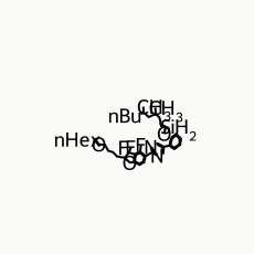 CCCCCCOCCCCC1Oc2ccc(-c3ncc(-c4ccccc4O[SiH2]CCC(C)CC(C)CCCC)cn3)c(F)c2C1(F)F